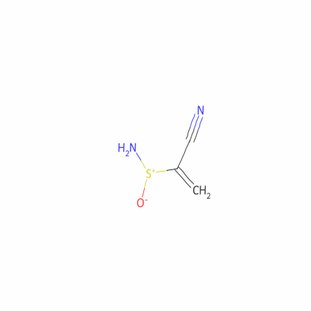 C=C(C#N)[S+](N)[O-]